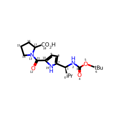 CC(C)[C@H](NC(=O)OC(C)(C)C)c1ccc(C(=O)N2CCCC2C(=O)O)[nH]1